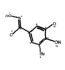 CC(C)(C)c1cc(C(Cl)=NO)cc(Cl)c1O